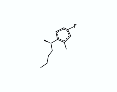 CCCC[C@@H](C)c1ccc(F)cc1C